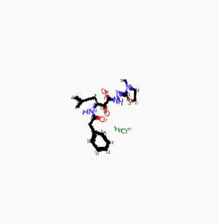 CC(C)C[C@H](NC(=O)Cc1ccccc1)C(=O)C(=O)N/N=C1\SCCN1C.Cl